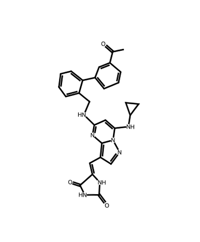 CC(=O)c1cccc(-c2ccccc2CNc2cc(NC3CC3)n3ncc(/C=C4\NC(=O)NC4=O)c3n2)c1